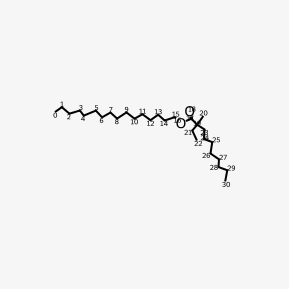 CCCCCCCCCCCCCCCCOC(=O)C(C)(CC)CCCCCCCC